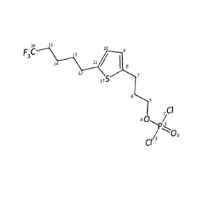 O=P(Cl)(Cl)OCCCc1ccc(CCCCC(F)(F)F)s1